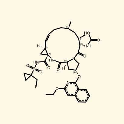 CCOc1cc2ccccc2c(O[C@@H]2C[C@H]3C(=O)N[C@]4(C(=O)NS(=O)(=O)C5(CF)CC5)C[C@H]4C=CCC[C@@H](C)C[C@@H](C)[C@H](NC(=O)O)C(=O)N3C2)n1